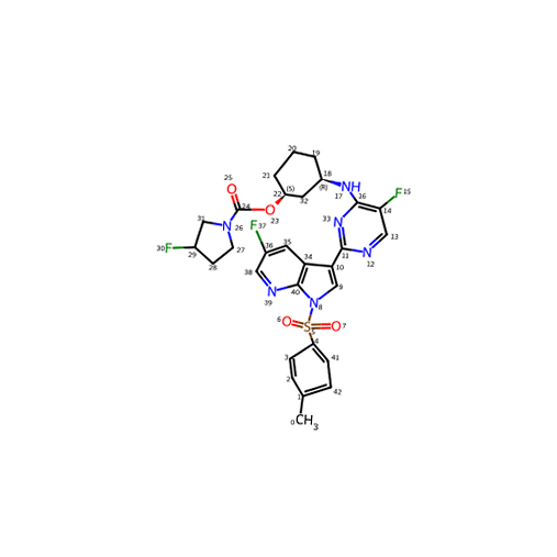 Cc1ccc(S(=O)(=O)n2cc(-c3ncc(F)c(N[C@@H]4CCC[C@H](OC(=O)N5CCC(F)C5)C4)n3)c3cc(F)cnc32)cc1